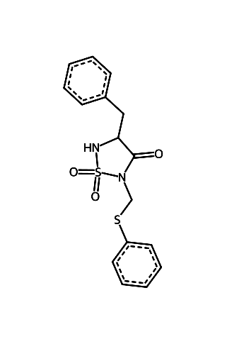 O=C1C(Cc2ccccc2)NS(=O)(=O)N1CSc1ccccc1